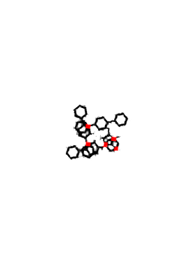 CC1=C(C)C(C)C([Si](c2cc(-c3ccccc3)ccc2-c2ccccc2)(c2cc(-c3ccccc3)ccc2-c2ccccc2)c2cc(-c3ccccc3)ccc2-c2ccccc2)=C1C